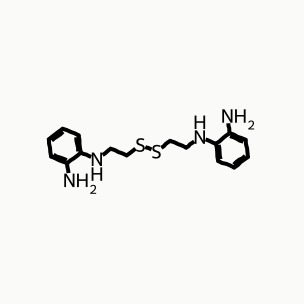 Nc1ccccc1NCCSSCCNc1ccccc1N